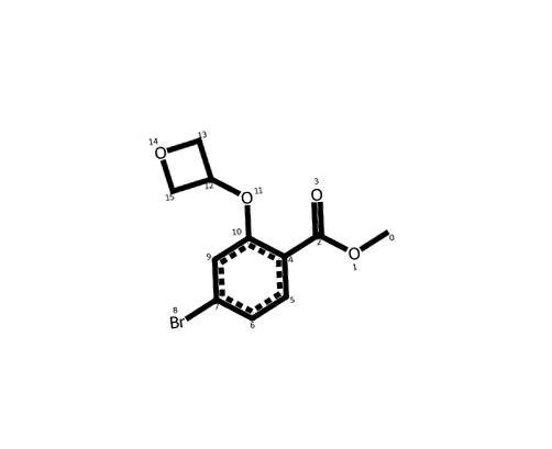 COC(=O)c1ccc(Br)cc1OC1COC1